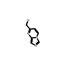 [O]Cc1ccn2cncc2n1